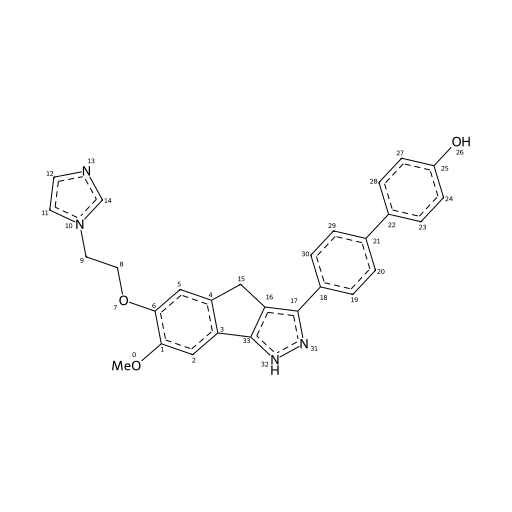 COc1cc2c(cc1OCCn1ccnc1)Cc1c(-c3ccc(-c4ccc(O)cc4)cc3)n[nH]c1-2